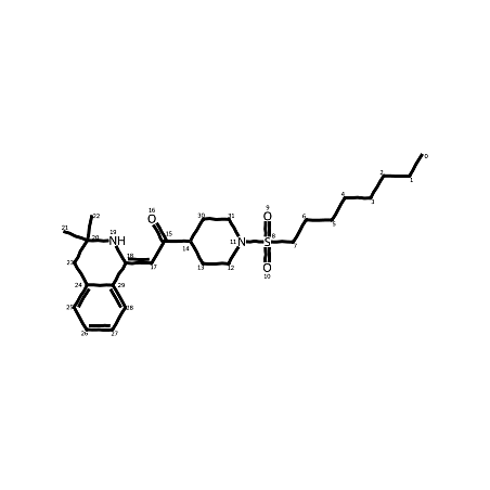 CCCCCCCCS(=O)(=O)N1CCC(C(=O)C=C2NC(C)(C)Cc3ccccc32)CC1